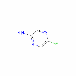 Nc1[c]nc(Cl)cn1